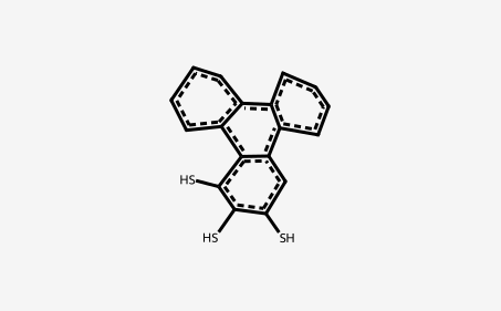 Sc1cc2c3ccccc3c3ccccc3c2c(S)c1S